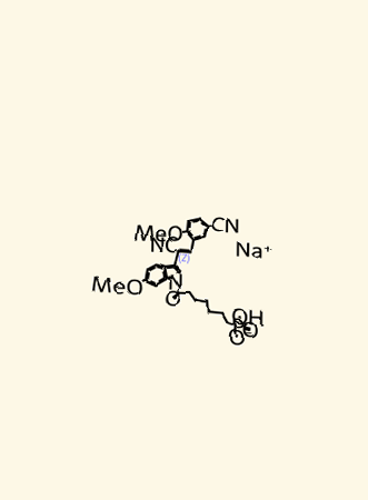 COc1ccc2c(/C(C#N)=C/c3cc(C#N)ccc3OC)cn(C(=O)CCCCCCP(=O)([O-])O)c2c1.[Na+]